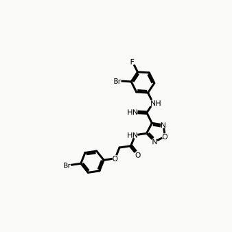 N=C(Nc1ccc(F)c(Br)c1)c1nonc1NC(=O)COc1ccc(Br)cc1